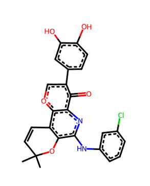 CC1(C)C=Cc2c(c(Nc3cccc(Cl)c3)nc3c(=O)c(-c4ccc(O)c(O)c4)coc23)O1